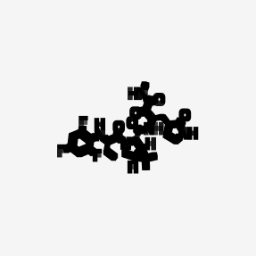 CC[C@@H](Nc1c(F)cc(F)cc1F)C(=O)N1C[C@H]2[C@@H]([C@H]1C(=O)N[C@H](C[C@@H]1CCNC1=O)C(=O)C(=O)NC)C2(C)C